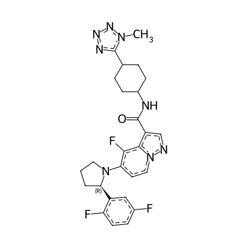 Cn1nnnc1C1CCC(NC(=O)c2cnn3ccc(N4CCC[C@@H]4c4cc(F)ccc4F)c(F)c23)CC1